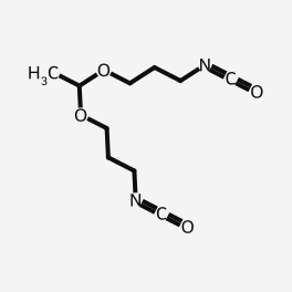 CC(OCCCN=C=O)OCCCN=C=O